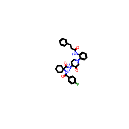 O=C(CCc1ccccc1)Nc1ccccc1N1CCC(NC(=O)C2(NC(=O)c3ccc(F)cc3)CCCCC2)C(=O)C1